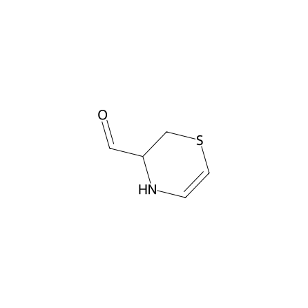 O=CC1CSC=CN1